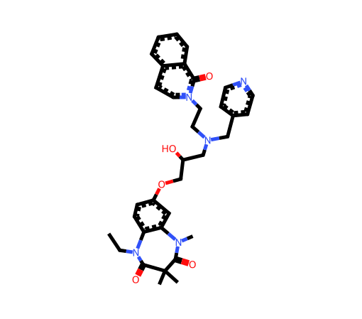 CCN1C(=O)C(C)(C)C(=O)N(C)c2cc(OCC(O)CN(CCn3ccc4ccccc4c3=O)Cc3ccncc3)ccc21